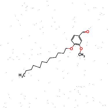 CCCCCCCCCCCCOc1ccc(C=O)cc1OC